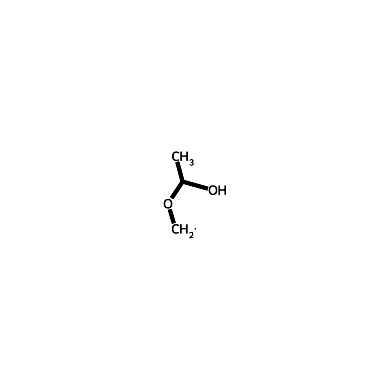 [CH2]OC(C)O